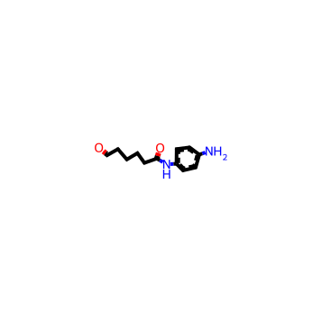 Nc1ccc(NC(=O)CCCCC=O)cc1